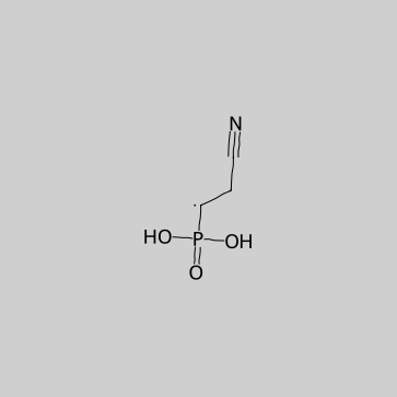 N#CC[CH]P(=O)(O)O